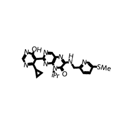 CSc1ccc(CNc2nc3cnc(-c4c(O)ncnc4C4CC4)nc3n(C(C)C)c2=O)nc1